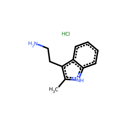 Cc1[nH]c2ccccc2c1CCN.Cl